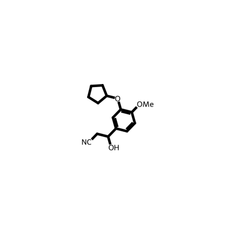 COc1ccc(C(O)CC#N)cc1OC1CCCC1